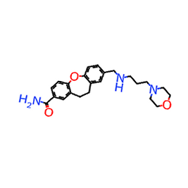 NC(=O)c1ccc2c(c1)CCc1cc(CNCCCN3CCOCC3)ccc1O2